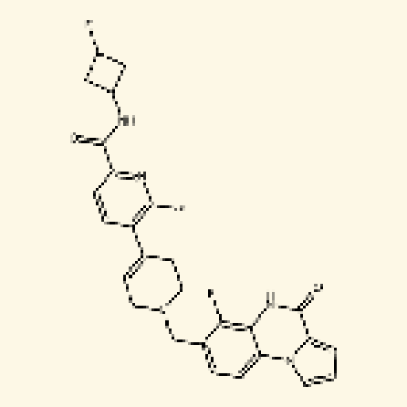 O=C(NC1CC(F)C1)c1ccc(C2=CCN(Cc3ccc4c([nH]c(=O)c5cccn54)c3F)CC2)c(F)n1